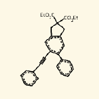 CCOC(=O)C1(C(=O)OCC)Cc2cc(C#Cc3ccccc3)c(-c3ccccc3)cc2C1